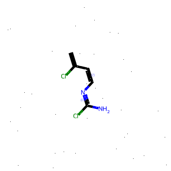 C=C(Cl)/C=C\N=C(/N)Cl